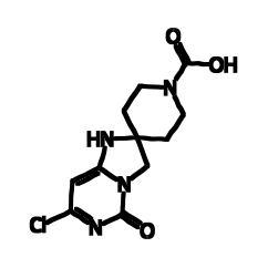 O=C(O)N1CCC2(CC1)Cn1c(cc(Cl)nc1=O)N2